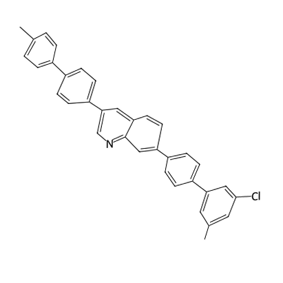 Cc1ccc(-c2ccc(-c3cnc4cc(-c5ccc(-c6cc(C)cc(Cl)c6)cc5)ccc4c3)cc2)cc1